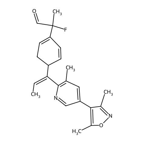 C/C=C(\c1ncc(-c2c(C)noc2C)cc1C)C1C=CC(C(C)(F)C=O)=CC1